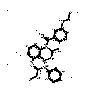 CCOc1cccc(C(=O)N2c3ccccc3[C@@H](N(C(=O)CC)c3ccccc3)CC2C)c1